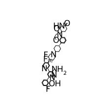 Nc1nnc(-c2cccc(F)c2O)cc1-c1cc([C@@H]2CCN([C@H]3CC[C@H](c4cccc5c4OCCN5C4CCC(=O)NC4=O)CC3)CC2(F)F)ccn1